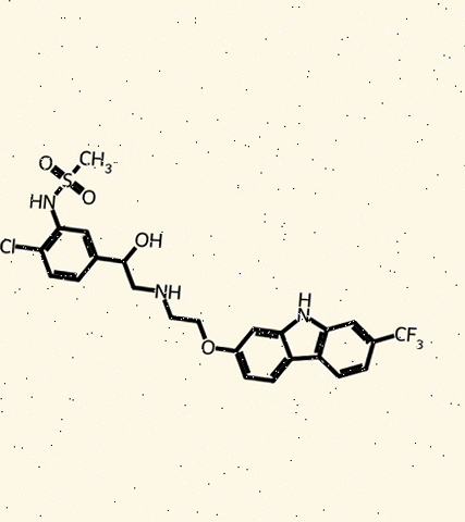 CS(=O)(=O)Nc1cc(C(O)CNCCOc2ccc3c(c2)[nH]c2cc(C(F)(F)F)ccc23)ccc1Cl